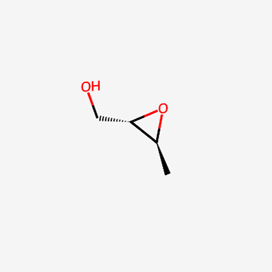 C[C@@H]1O[C@H]1CO